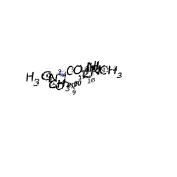 CN(C)/C=C(/C(=O)O)C(=O)[C@@H]1C[C@H]1c1cnn(C)c1